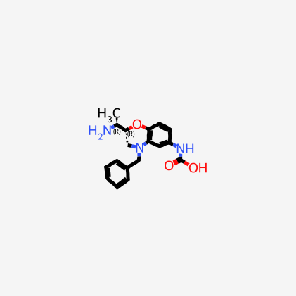 C[C@@H](N)[C@H]1CN(Cc2ccccc2)c2cc(NC(=O)O)ccc2O1